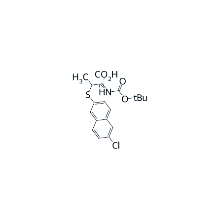 CC(Sc1ccc2cc(Cl)ccc2c1)[C@@H](NC(=O)OC(C)(C)C)C(=O)O